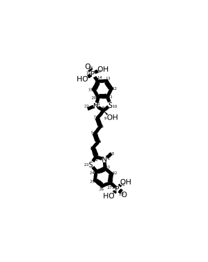 CN1C(=CC=CC=C[C@]2(O)Sc3ccc(P(=O)(O)O)cc3N2C)Sc2ccc(P(=O)(O)O)cc21